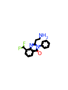 NCCc1nc2c(C(F)F)cccc2c(=O)n1-c1ccccc1